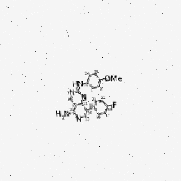 COc1ccc(Nc2ncc3c(N)ncc(-c4ccc(F)cc4)c3n2)cc1